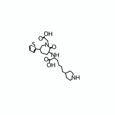 O=C(O)CN1CC(c2cccs2)CCC(NC(CCCCC2CCNCC2)C(=O)O)C1=O